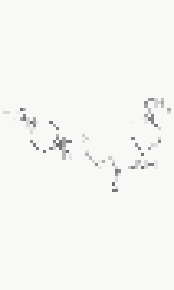 CN1CCN(NC(=S)SSC(=S)NN2CCN(C)CC2)CC1